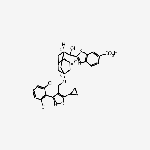 O=C(O)c1ccc2nc(C3(O)[C@@H]4CC5C[C@H]3C[C@](OCc3c(-c6c(Cl)cccc6Cl)noc3C3CC3)(C5)C4)sc2c1